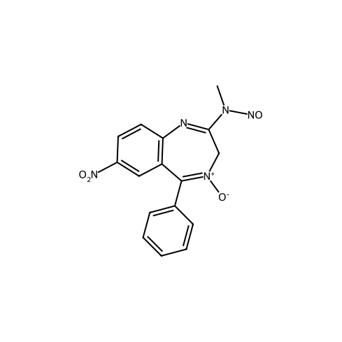 CN(N=O)C1=Nc2ccc([N+](=O)[O-])cc2C(c2ccccc2)=[N+]([O-])C1